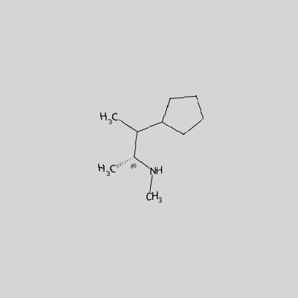 CN[C@H](C)C(C)C1CCCC1